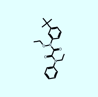 CCON(C(=O)C(=O)N(CC)c1ccccc1)c1cccc(C(C)(C)C)c1